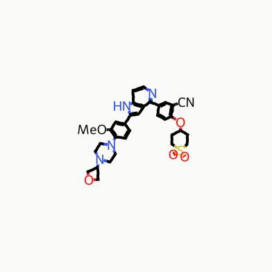 COc1cc(-c2cc3c(-c4ccc(OC5CCS(=O)(=O)CC5)c(C#N)c4)nccc3[nH]2)ccc1N1CCN(C2COC2)CC1